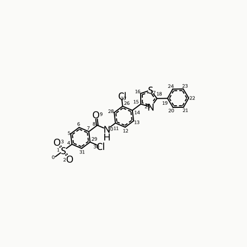 CS(=O)(=O)c1ccc(C(=O)Nc2ccc(-c3csc(-c4ccccc4)n3)c(Cl)c2)c(Cl)c1